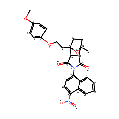 COc1ccc(OCCC23CCC(C)(O2)C2C(=O)N(c4ccc([N+](=O)[O-])c5ccccc45)C(=O)C23)cc1